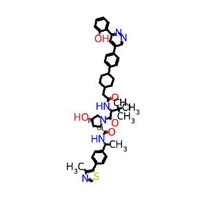 Cc1ncsc1-c1ccc(C(C)NC(=O)[C@@H]2C[C@@H](O)CN2C(=O)C(NC(=O)CC2CCC(c3ccc(-c4cnnc(-c5ccccc5O)c4)cc3)CC2)C(C)(C)C)cc1